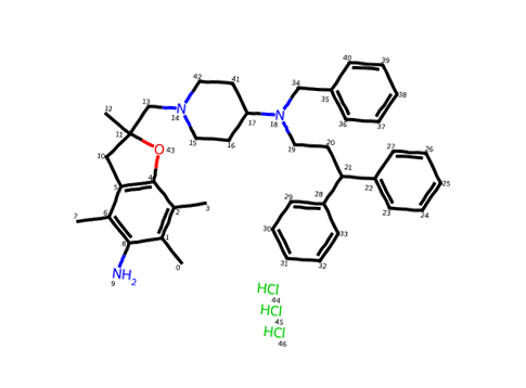 Cc1c(C)c2c(c(C)c1N)CC(C)(CN1CCC(N(CCC(c3ccccc3)c3ccccc3)Cc3ccccc3)CC1)O2.Cl.Cl.Cl